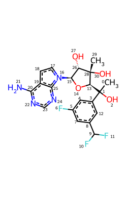 CC(O)(c1cc(F)cc(C(F)F)c1)[C@H]1O[C@@H](n2ccc3c(N)ncnc32)[C@H](O)[C@]1(C)O